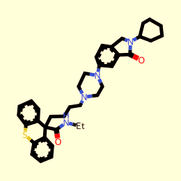 CCNC(=O)C1(CCCCN2CCN(c3ccc4c(c3)C(=O)N(C3CCCCC3)C4)CC2)c2ccccc2Sc2ccccc21